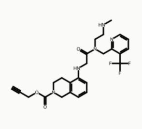 C#CCOC(=O)N1CCc2c(cccc2NCC(=O)N(CCNC)Cc2ncccc2C(F)(F)F)C1